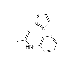 CC(=S)Nc1ccccc1.c1csnn1